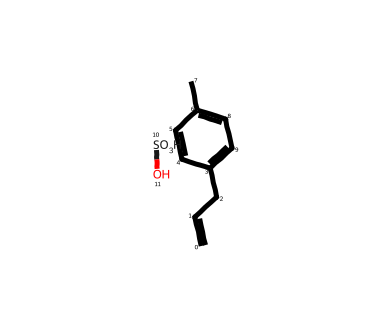 C=CCc1ccc(C)cc1.O=S(=O)(O)O